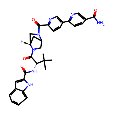 CC(C)(C)[C@H](NC(=O)c1cc2ccccc2[nH]1)C(=O)N1CC2C[C@H]1CN2C(=O)c1ccc(-c2ccc(C(N)=O)cn2)cn1